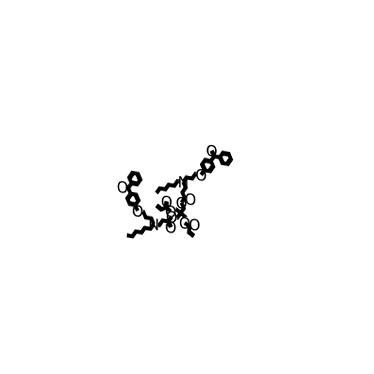 C=CC(=O)OCC(COC(=O)C=C)(COC(=O)CCN(CCCCCC)CCCOc1ccc(C(=O)c2ccccc2)cc1)COC(=O)CCN(CCCCCC)CCCOc1ccc(C(=O)c2ccccc2)cc1